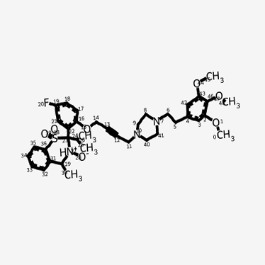 COc1cc(CCN2CCN(CC#CCOc3ccc(F)cc3C3(C(C)C)[NH+]([O-])C(C)c4ccccc4S3(=O)=O)CC2)cc(OC)c1OC